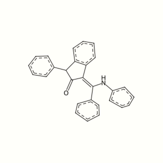 O=C1C(=C(Nc2ccccc2)c2ccccc2)c2ccccc2C1c1ccccc1